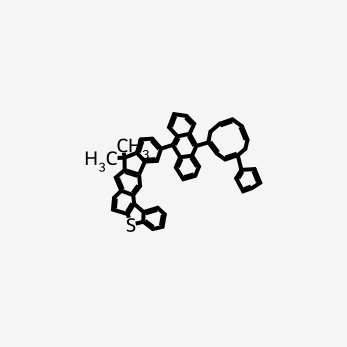 CC1(C)c2ccc(-c3c4ccccc4c(/C4=C/C=C(/c5ccccc5)C/C=C\C=C/C4)c4ccccc34)cc2-c2cc3c(ccc4sc5ccccc5c43)cc21